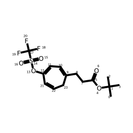 CC(C)(C)OC(=O)CCC1=CC=C(OS(=O)(=O)C(F)(F)F)C=CC1